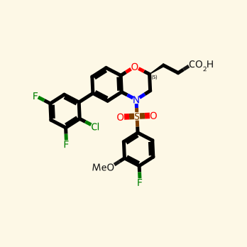 COc1cc(S(=O)(=O)N2C[C@H](CCC(=O)O)Oc3ccc(-c4cc(F)cc(F)c4Cl)cc32)ccc1F